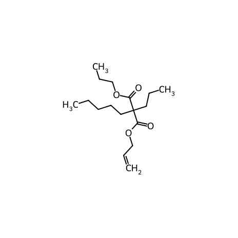 C=CCOC(=O)C(CCC)(CCCCC)C(=O)OCCC